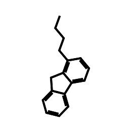 CCCCc1cccc2c1Cc1ccccc1-2